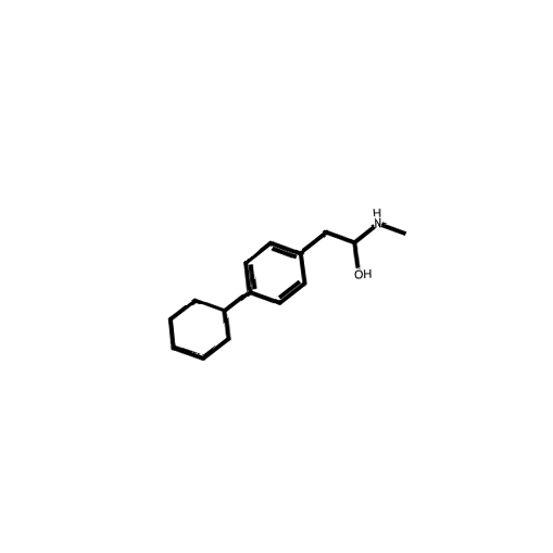 CNC(O)Cc1ccc(C2CCCCC2)cc1